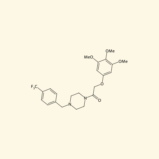 COc1cc(OCC(=O)N2CCN(Cc3ccc(C(F)(F)F)cc3)CC2)cc(OC)c1OC